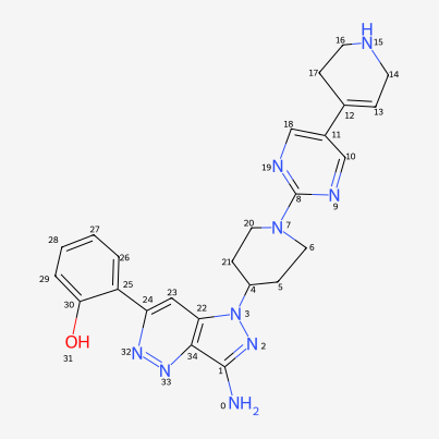 Nc1nn(C2CCN(c3ncc(C4=CCNCC4)cn3)CC2)c2cc(-c3ccccc3O)nnc12